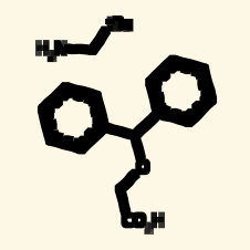 CC(C)(C)CN.O=C(O)COC(c1ccccc1)c1ccccc1